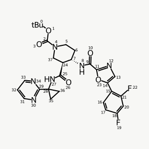 CC(C)(C)OC(=O)N1CC[C@H](NC(=O)c2ncc(-c3ccc(F)cc3F)o2)[C@@H](C(=O)NC2(c3ncccn3)CC2)C1